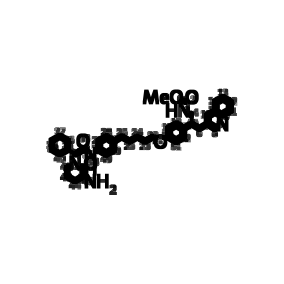 COC(=O)NC[C@@H](Cc1cnc2ccccc2c1)c1ccc(OCCCCCc2ccc(NC(=O)[C@H](C3CCCCC3)N3CCC[C@H](N)C3=O)cc2)cc1